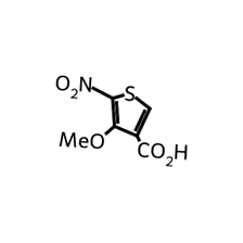 COc1c(C(=O)O)csc1[N+](=O)[O-]